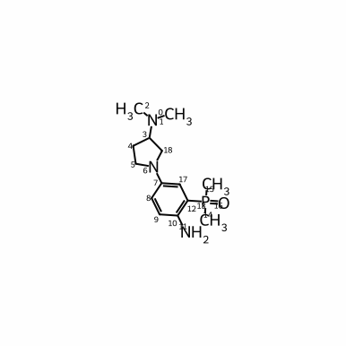 CN(C)C1CCN(c2ccc(N)c(P(C)(C)=O)c2)C1